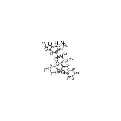 CC(C)C(c1oc2cc(F)ccc2c(=O)c1Cc1ccccc1)N(CCCN)C(=O)c1ccc2c(c1)OCO2